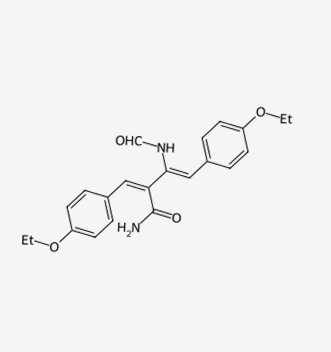 CCOc1ccc(/C=C(NC=O)/C(=C/c2ccc(OCC)cc2)C(N)=O)cc1